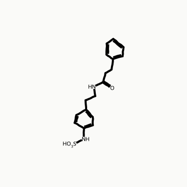 O=C(CCc1ccccc1)NCCc1ccc(NS(=O)(=O)O)cc1